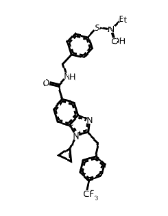 CCN(O)Sc1ccc(CNC(=O)c2ccc3c(c2)nc(Cc2ccc(C(F)(F)F)cc2)n3C2CC2)cc1